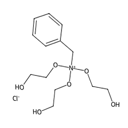 OCCO[N+](Cc1ccccc1)(OCCO)OCCO.[Cl-]